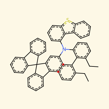 CCc1ccccc1-c1c(CC)cccc1N(c1ccc2c(c1)C1(c3ccccc3-c3ccccc31)c1ccccc1-2)c1cccc2sc3ccccc3c12